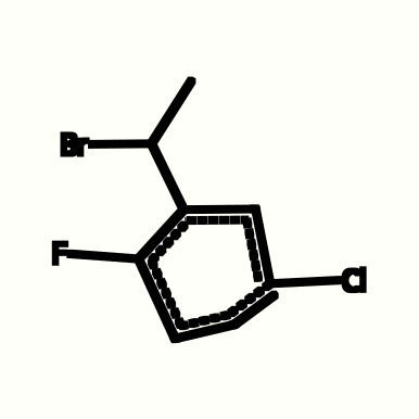 CC(Br)c1cc(Cl)ccc1F